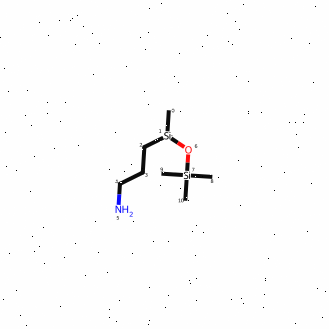 C[Si](CCCN)O[Si](C)(C)C